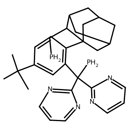 CC(C)(C)c1ccc(C23CC4CC(CC(C4)C2CP)C3)c(C(P)(c2ncccn2)c2ncccn2)c1